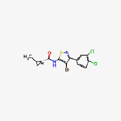 CC1C[C@H]1C(=O)Nc1snc(-c2ccc(Cl)c(Cl)c2)c1Br